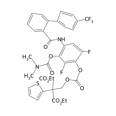 CCOC(=O)C(COC(=O)Oc1c(F)cc(NC(=O)c2ccccc2-c2ccc(C(F)(F)F)cc2)c(OC(=O)N(C)C)c1F)(C(=O)OCC)c1cccs1